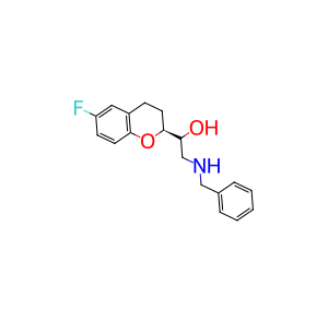 OC(CNCc1ccccc1)[C@@H]1CCc2cc(F)ccc2O1